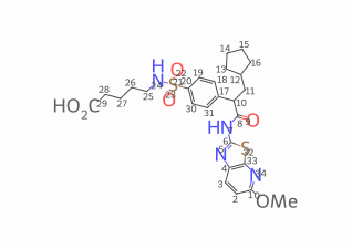 COc1ccc2nc(NC(=O)C(CC3CCCC3)c3ccc(S(=O)(=O)NCCCCC(=O)O)cc3)sc2n1